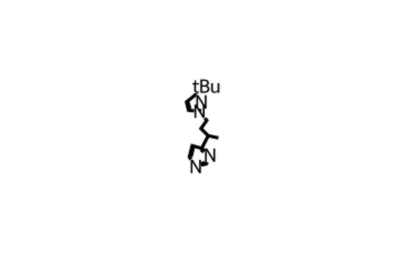 CC(CCn1ccc(C(C)(C)C)n1)c1ccncn1